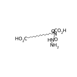 NCCNC(=O)CCN(CC(=O)O)C(=O)CCCCCCCCCCCCCCCCC(=O)O